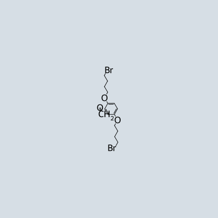 BrCCCCOc1ccc(OCCCCBr)cc1.C=O